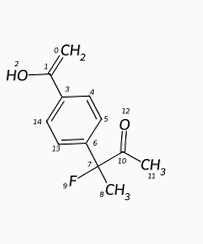 C=C(O)c1ccc(C(C)(F)C(C)=O)cc1